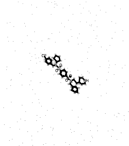 O=S(=O)(c1ccc(S(=O)(=O)N(Cc2ccc(Cl)cc2)C2CCCC2)cc1)N(CCC1CCNCC1)Cc1ccccc1